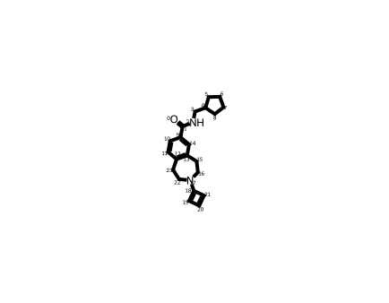 O=C(NCC1CCCC1)c1ccc2c(c1)CCN(C1=CC=C1)CC2